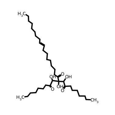 CCCCCCCCC=CCCCCCCCC(=O)C(O)(C(O)C(=O)CCCCCCC)C(O)C(=O)CCCCCCC